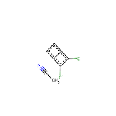 CC#N.Clc1c2ccc-2c1Cl